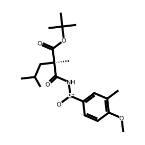 COc1ccc([S+]([O-])NC(=O)[C@@](C)(CC(C)C)C(=O)OC(C)(C)C)cc1C